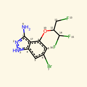 Nc1n[nH]c2cc(Br)cc(OC(CF)C(F)F)c12